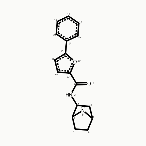 O=C(NC1CC2CCC1N2)c1ccc(-c2ccccc2)o1